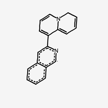 [c]1nc(C2=CC=CN3CC=CC=C23)cc2ccccc12